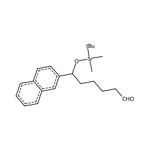 CC(C)(C)[Si](C)(C)OC(CCCCC=O)c1ccc2ccccc2c1